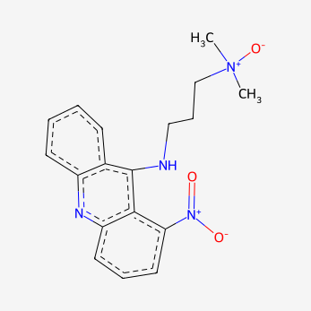 C[N+](C)([O-])CCCNc1c2ccccc2nc2cccc([N+](=O)[O-])c12